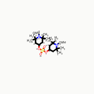 CON1C(C)(C)CC(OS(=O)(=O)OC2CC(C)(C)N(OC)C(C)(C)C2)CC1(C)C